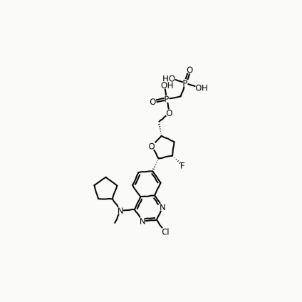 CN(c1nc(Cl)nc2cc([C@@H]3O[C@H](COP(=O)(O)CP(=O)(O)O)C[C@@H]3F)ccc12)C1CCCC1